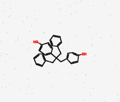 Oc1ccc(CC(Cc2ccccc2)(Cc2ccccc2)c2ccc(O)cc2)cc1